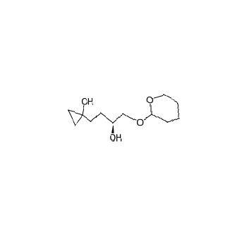 O[C@@H](CCC1(O)CC1)COC1CCCCO1